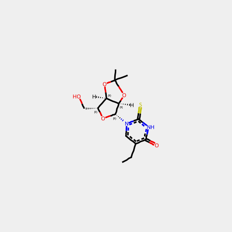 CCc1cn([C@@H]2O[C@H](CO)[C@H]3OC(C)(C)O[C@H]32)c(=S)[nH]c1=O